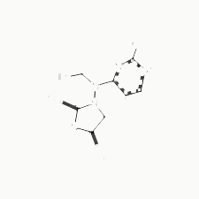 CC(C)CN(c1ccnc(Cl)n1)N1CC(=O)NC1=O